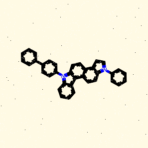 c1ccc(-c2ccc(-n3c4ccccc4c4c5ccc6c(ccn6-c6ccccc6)c5ccc43)cc2)cc1